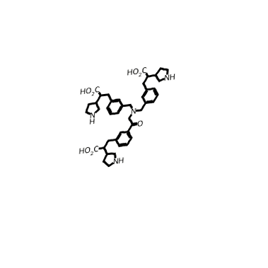 O=C(CN(Cc1cccc(CC(C(=O)O)C2CCNC2)c1)Cc1cccc(CC(C(=O)O)C2CCNC2)c1)c1cccc(CC(C(=O)O)C2CCNC2)c1